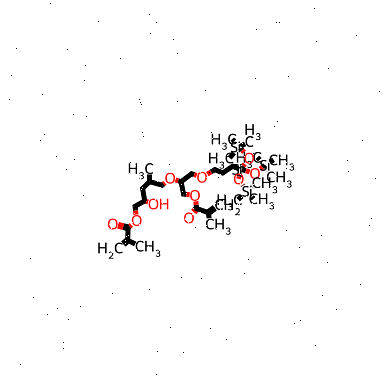 C=C(C)C(=O)OCC(O)CC(C)COC(COCCC[Si](O[Si](C)(C)C)(O[Si](C)(C)C)O[Si](C)(C)C)COC(=O)C(=C)C